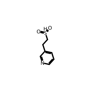 O=[SH](=O)CCc1cccnc1